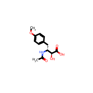 COc1ccc(C[C@@H](NC(C)=O)[C@H](O)C(=O)O)cc1